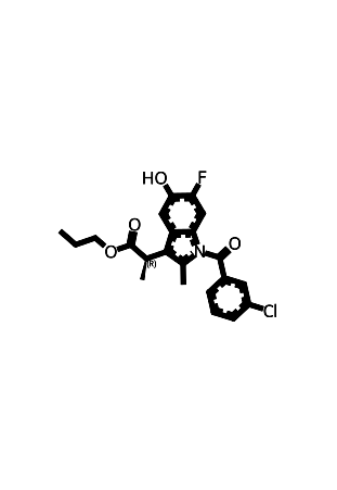 CCCOC(=O)[C@H](C)c1c(C)n(C(=O)c2cccc(Cl)c2)c2cc(F)c(O)cc12